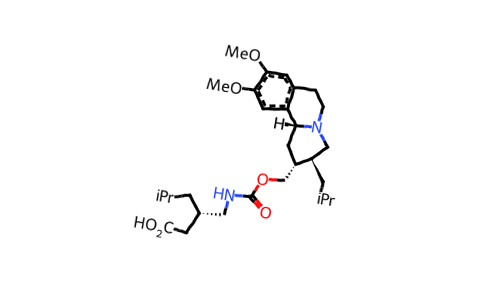 COc1cc2c(cc1OC)[C@H]1C[C@@H](COC(=O)NC[C@H](CC(=O)O)CC(C)C)[C@H](CC(C)C)CN1CC2